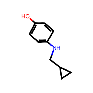 Oc1ccc(NCC2CC2)cc1